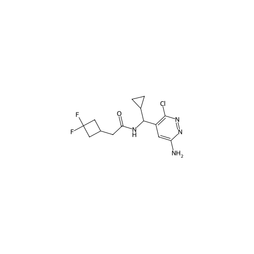 Nc1cc(C(NC(=O)CC2CC(F)(F)C2)C2CC2)c(Cl)nn1